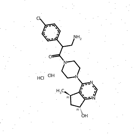 C[C@@H]1C[C@@H](O)c2ncnc(N3CCN(C(=O)C(CN)c4ccc(Cl)cc4)CC3)c21.Cl.Cl